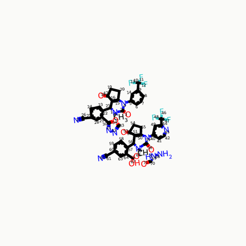 CN1C(=O)N(c2cccc(C(F)(F)F)c2)C2=C(C(=O)CC2)C1c1ccc(C#N)cc1-c1nnco1.CN1C(=O)N(c2ccnc(C(F)(F)F)c2)C2=C(C(=O)CC2)C1c1ccc(C#N)cc1C(=O)O.NNC=O